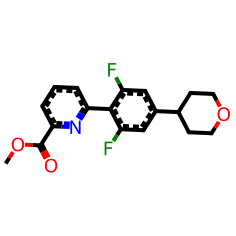 COC(=O)c1cccc(-c2c(F)cc(C3CCOCC3)cc2F)n1